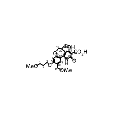 COCCCOc1cc2c(cc1COC)-c1[nH]c(=O)c(C(=O)O)c(O)c1C(C(C)C)CO2